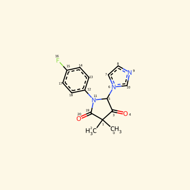 CC1(C)C(=O)C(n2ccnc2)N(c2ccc(F)cc2)C1=O